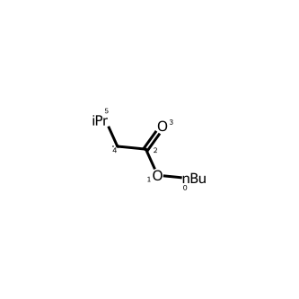 CCCCOC(=O)[CH]C(C)C